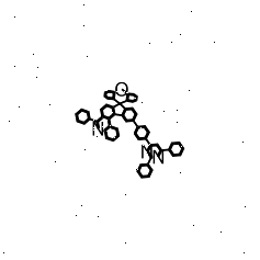 c1ccc(-c2cc(-c3ccc(-c4ccc5c(c4)-c4c(ccc6c(-c7ccccc7)nc7ccccc7c46)C54c5ccccc5Oc5ccccc54)cc3)nc(-c3ccccc3)n2)cc1